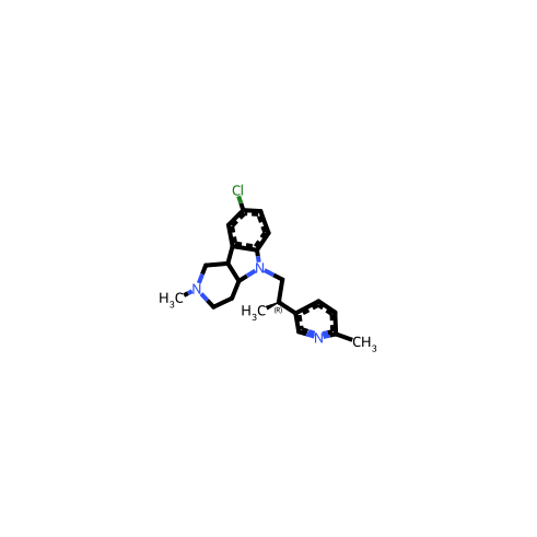 Cc1ccc([C@@H](C)CN2c3ccc(Cl)cc3C3CN(C)CCC32)cn1